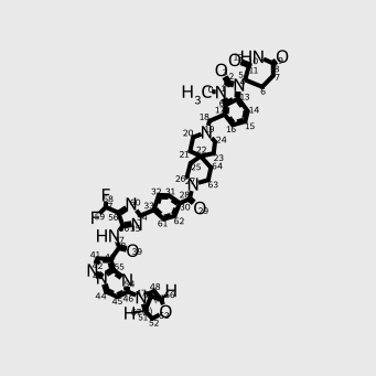 Cn1c(=O)n(C2CCC(=O)NC2=O)c2cccc(CN3CCC4(CC3)CCN(C(=O)c3ccc(C5N=C(NC(=O)c6cnn7ccc(N8C[C@H]9C[C@@H]8CO9)nc67)C(C(F)F)=N5)cc3)CC4)c21